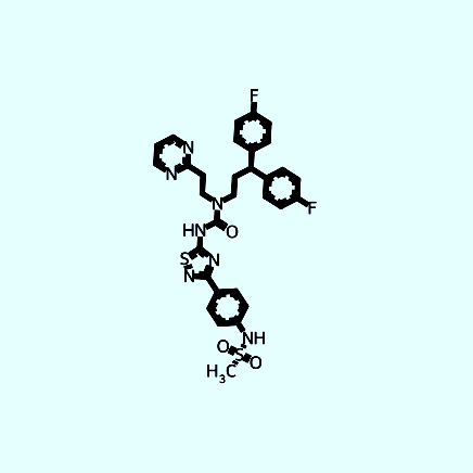 CS(=O)(=O)Nc1ccc(-c2nsc(NC(=O)N(CCc3ncccn3)CCC(c3ccc(F)cc3)c3ccc(F)cc3)n2)cc1